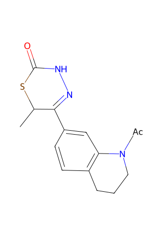 CC(=O)N1CCCc2ccc(C3=NNC(=O)SC3C)cc21